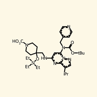 CC[Si](CC)(CC)OC1(CNc2cc(N(Cc3ccncc3)C(=O)OC(C)(C)C)n3ncc(C(C)C)c3n2)CCN(C(=O)O)CC1